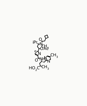 CC(=O)OC(CC(C(C)C)N(C)C(=O)CC1CCC1)c1nc(C(=O)N[C@@H](Cc2ncc(C)cn2)CC(C)C(=O)O)cs1